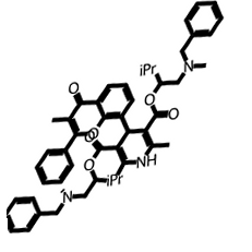 CC1=C(C(=O)OC(CN(C)Cc2ccccc2)C(C)C)C(c2cccc3c(=O)c(C)c(-c4ccccc4)oc23)C(C(=O)OC(CN(C)Cc2ccccc2)C(C)C)=C(C)N1